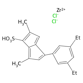 CCc1cc(CC)cc(C2=CC(C)=C3C2=CC(C)=C3S(=O)(=O)O)c1.[Cl-].[Cl-].[Zr+2]